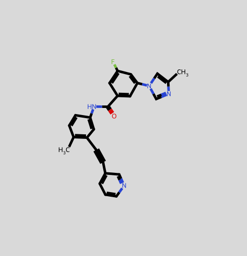 Cc1cn(-c2cc(F)cc(C(=O)Nc3ccc(C)c(C#Cc4cccnc4)c3)c2)cn1